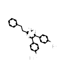 CCOc1ccc(-c2nnc(CCc3ccccc3)nc2-c2ccc(OCC)cc2)cc1